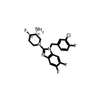 N[C@@H]1CN(c2nc3cc(F)c(F)cc3n2Cc2ccc(F)c(Cl)c2)CC[C@H]1F